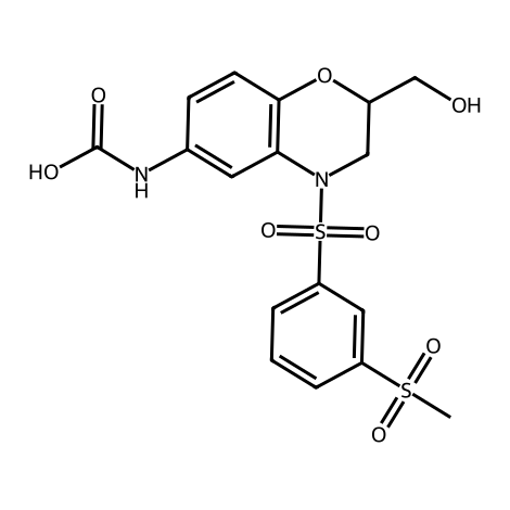 CS(=O)(=O)c1cccc(S(=O)(=O)N2CC(CO)Oc3ccc(NC(=O)O)cc32)c1